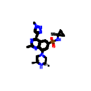 Cc1nc(-c2cn(C)nn2)c2cc(S(=O)(=O)NC3(C#N)CC3)cc(N3C[C@H](C)N[C@@H](C)C3)c2n1